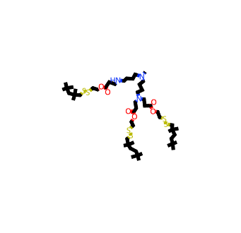 CN(CCCCNCCC(=O)OCCSSCC(C)(C)CC(C)(C)C)CCCCN(CCC(=O)OCCSSCC(C)(C)CCC(C)(C)C)CCC(=O)OCCSSCC(C)(C)CCC(C)(C)C